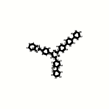 C1=Cc2nc(-c3ccc(-c4cc(-c5ccc6c(c5)sc5ccccc56)nc(-c5ccc(-c6ccc(-c7ccccc7)cc6)cc5)n4)cc3)sc2CC1